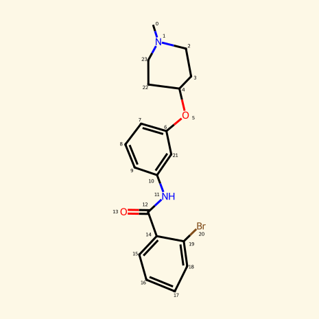 CN1CCC(Oc2cccc(NC(=O)c3ccccc3Br)c2)CC1